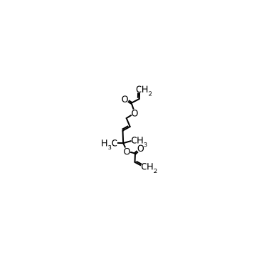 C=CC(=O)OCC=CC(C)(C)OC(=O)C=C